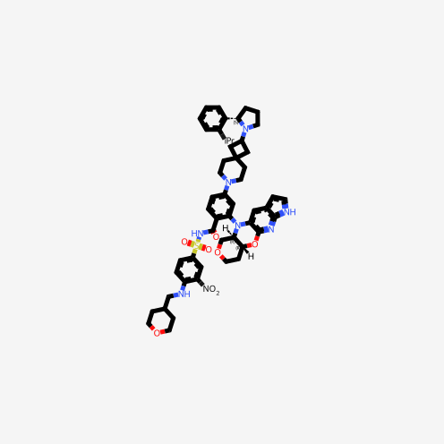 CC(C)c1ccccc1[C@@H]1CCCN1C1CC2(CCN(c3ccc(C(=O)NS(=O)(=O)c4ccc(NCC5CCOCC5)c([N+](=O)[O-])c4)c(N4c5cc6cc[nH]c6nc5O[C@@H]5CCOC[C@H]54)c3)CC2)C1